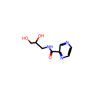 O=C(NCC(O)CO)c1cnccn1